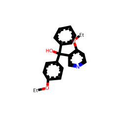 CCOc1ccc(C(O)(c2ccccc2)c2cnccc2OCC)cc1